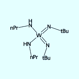 CCC[NH][W](=[N]C(C)(C)C)(=[N]C(C)(C)C)[NH]CCC